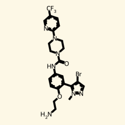 Cn1ncc(Br)c1-c1cc(NC(=O)N2CCN(c3ccc(C(F)(F)F)cn3)CC2)ccc1OCCN